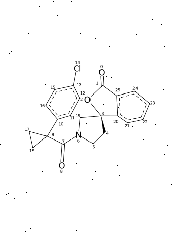 O=C1O[C@]2(CCN(C(=O)C3(c4ccc(Cl)cc4)CC3)C2)c2ccccc21